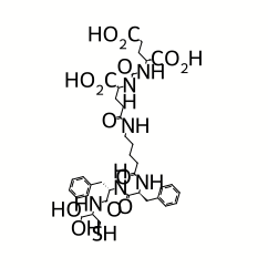 O=C(O)CC[C@H](NC(=O)N[C@@H](CCC(=O)NCCCCC(=O)N[C@@H](Cc1ccccc1)C(=O)N[C@@H](Cc1ccccc1)C(=O)NC(CS)C(O)O)C(=O)O)C(=O)O